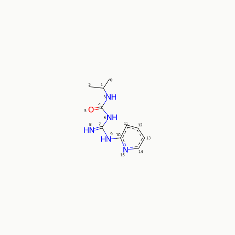 CC(C)NC(=O)NC(=N)Nc1ccccn1